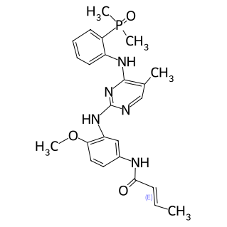 C/C=C/C(=O)Nc1ccc(OC)c(Nc2ncc(C)c(Nc3ccccc3P(C)(C)=O)n2)c1